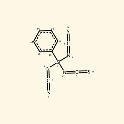 S=C=N[Si](N=C=S)(N=C=S)c1ccccc1